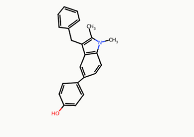 Cc1c(Cc2ccccc2)c2cc(-c3ccc(O)cc3)ccc2n1C